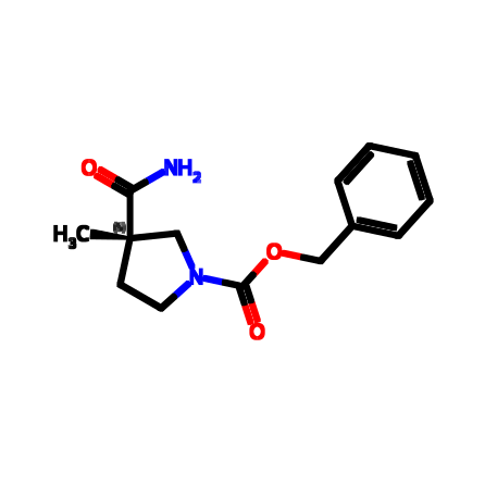 C[C@]1(C(N)=O)CCN(C(=O)OCc2ccccc2)C1